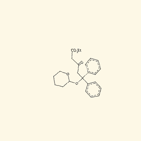 CCOC(=O)CC(=O)CC(OC1CCCCO1)(c1ccccc1)c1ccccc1